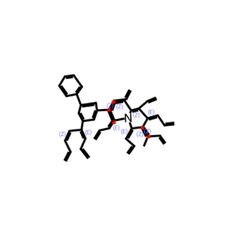 C=C\C=C/C(=C\C=C)C(/C=C)=C(/C=C\C(=C)c1cc(C(/C=C\C=C)=C/C=C)cc(-c2ccccc2)c1)N(C(/C=C\C)=C/C=C)C(/C=C\C=C)=C/C=C